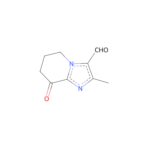 Cc1nc2n(c1C=O)CCCC2=O